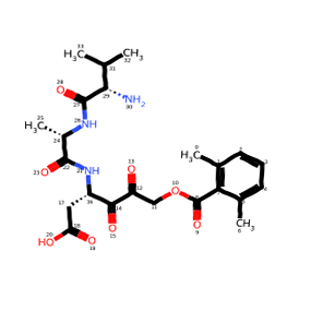 Cc1cccc(C)c1C(=O)OCC(=O)C(=O)[C@H](CC(=O)O)NC(=O)[C@H](C)NC(=O)[C@@H](N)C(C)C